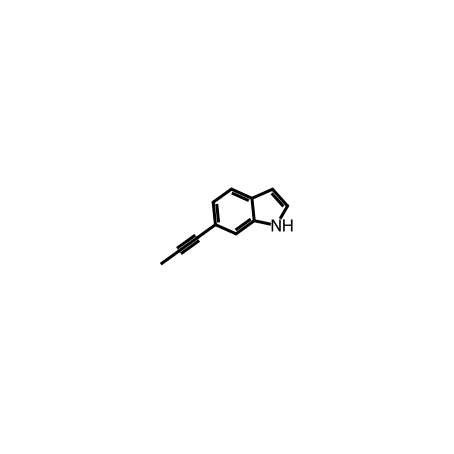 CC#Cc1ccc2cc[nH]c2c1